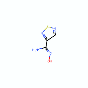 NC(=NO)c1cnsn1